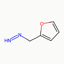 N=NCc1ccco1